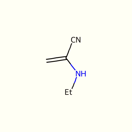 C=C(C#N)NCC